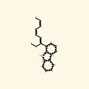 C\C=C/C=C\C=C(/CC)c1cccc2c1sc1ccccc12